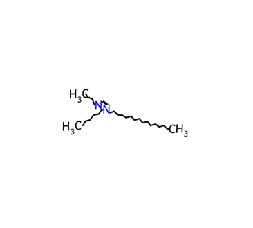 CCCCCCCCCCCCCCCCN1C=CN(CCCC)C1CCCCCC